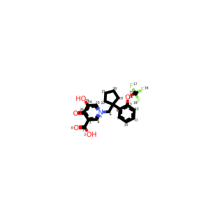 O=C(O)c1cn(CC2(c3ccccc3OC(F)(F)F)CCCC2)cc(O)c1=O